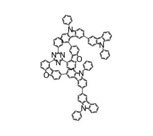 c1ccc(-c2nc(-c3cccc4oc5ccc(-c6ccc7c(c6)c6cc(-c8ccc9c(c8)c8ccccc8n9-c8ccccc8)ccc6n7-c6ccccc6)cc5c34)nc(-c3cccc4oc5ccc(-c6cccc7c6c6cc(-c8ccc9c(c8)c8ccccc8n9-c8ccccc8)ccc6n7-c6ccccc6)cc5c34)n2)cc1